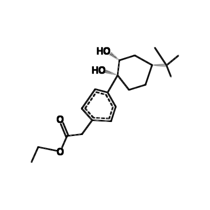 CCOC(=O)Cc1ccc([C@]2(O)CC[C@@H](C(C)(C)C)C[C@H]2O)cc1